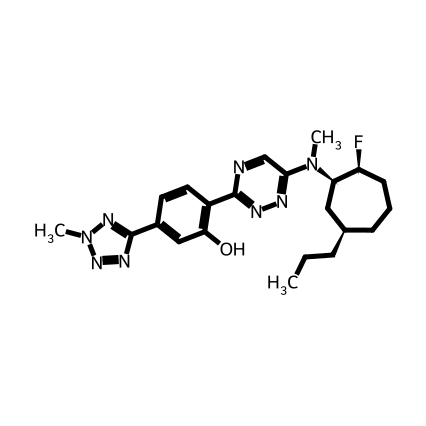 CCC[C@@H]1CCC[C@H](F)[C@H](N(C)c2cnc(-c3ccc(-c4nnn(C)n4)cc3O)nn2)C1